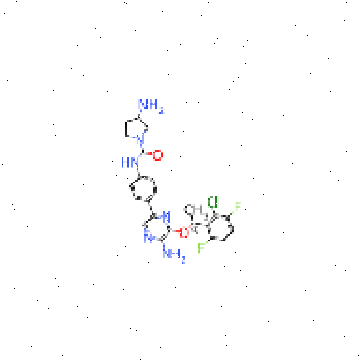 C[C@H](Oc1nc(-c2ccc(NC(=O)N3CCC(N)C3)cc2)cnc1N)c1c(F)ccc(F)c1Cl